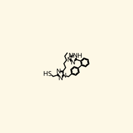 CCCCCc1nc(CS)nn1Cc1ccc(-c2ccccc2-c2nnn[nH]2)cc1